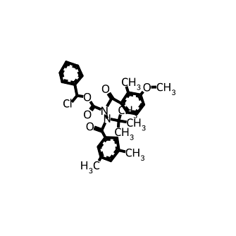 COc1cccc(C(=O)N(C(=O)OC(Cl)c2ccccc2)N(C(=O)c2cc(C)cc(C)c2)C(C)(C)C)c1C